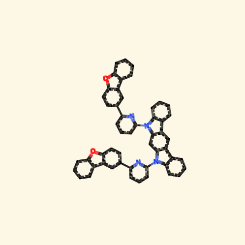 c1cc(-c2ccc3oc4ccccc4c3c2)nc(-n2c3ccccc3c3cc4c5ccccc5n(-c5cccc(-c6ccc7oc8ccccc8c7c6)n5)c4cc32)c1